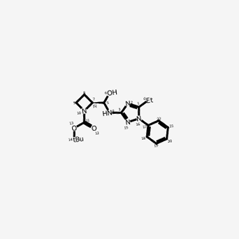 CCc1nc(NC(O)[C@@H]2CCN2C(=O)OC(C)(C)C)nn1-c1ccccc1